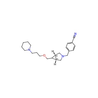 N#Cc1ccc(CN2C[C@@H]3C(COCCCN4CCCCC4)[C@@H]3C2)cc1